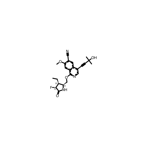 CC[C@@H]1[C@H](F)C(=O)N[C@@H]1COc1ncc(C#CC(C)(C)O)c2cc(C#N)c(OC)cc12